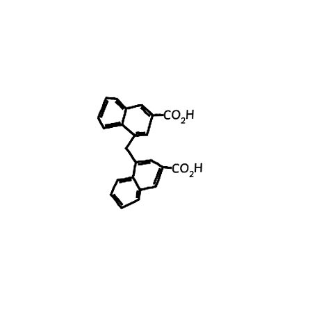 O=C(O)c1cc(Cc2cc(C(=O)O)cc3ccccc23)c2ccccc2c1